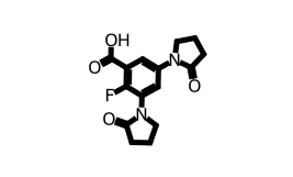 O=C(O)c1cc(N2CCCC2=O)cc(N2CCCC2=O)c1F